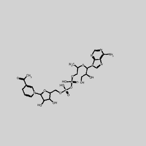 CC(=O)C1=CN(C2OC(COP(=O)(O)OP(=O)(O)OCC(C)OC(C(O)CO)n3cnc4c(N)ncnc43)C(O)C2O)C=CC1